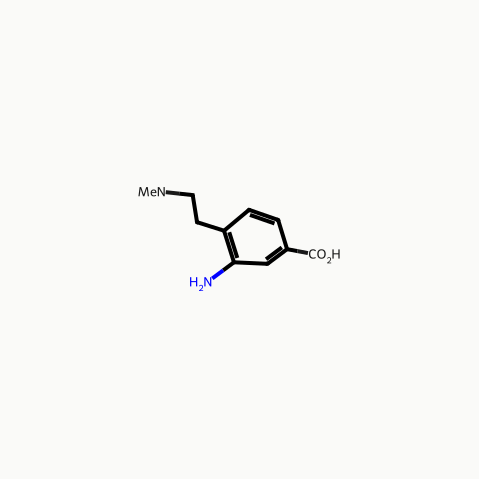 CNCCc1ccc(C(=O)O)cc1N